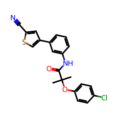 CC(C)(Oc1ccc(Cl)cc1)C(=O)Nc1cccc(-c2csc(C#N)c2)c1